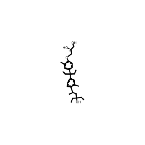 CCC(O)(CC)CC(C)c1ccc(C(CC)(CC)c2ccc(OC[C@@H](O)CO)c(C)c2)cc1C